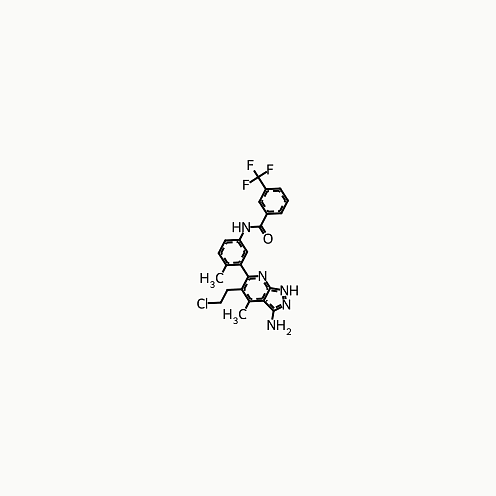 Cc1ccc(NC(=O)c2cccc(C(F)(F)F)c2)cc1-c1nc2[nH]nc(N)c2c(C)c1CCCl